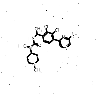 CC(NC(=O)N(C)C1CCN(C)CC1)c1ccc(-c2cncc(N)n2)c(Cl)c1Cl